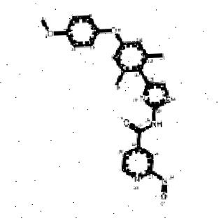 COc1ccc(Oc2cc(C)c(-c3csc(NC(=O)c4ccnc(N=O)c4)n3)c(C)c2)cc1